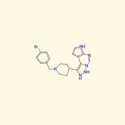 Brc1ccc(CN2CCC(C3=C4c5cc[nH]c5N=CN4NN3)CC2)cc1